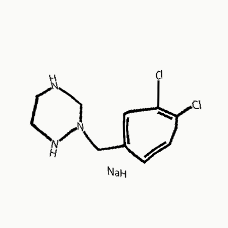 Clc1ccc(CN2CNCCN2)cc1Cl.[NaH]